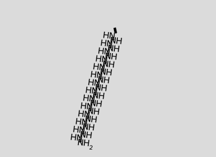 CCNNNNNNNNNNNNNNNNNNNNNNNNNNNN